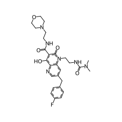 CN(C)C(=O)NCCn1c(=O)c(C(=O)NCCN2CCOCC2)c(O)c2ncc(Cc3ccc(F)cc3)cc21